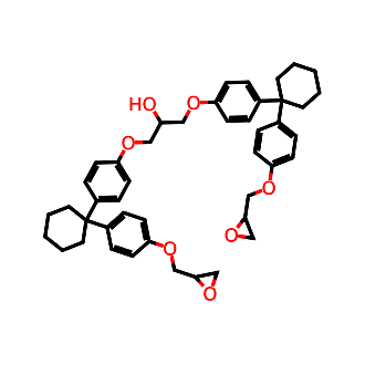 OC(COc1ccc(C2(c3ccc(OCC4CO4)cc3)CCCCC2)cc1)COc1ccc(C2(c3ccc(OCC4CO4)cc3)CCCCC2)cc1